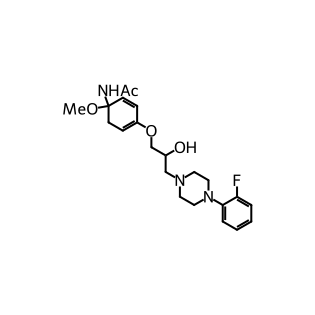 COC1(NC(C)=O)C=CC(OCC(O)CN2CCN(c3ccccc3F)CC2)=CC1